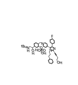 CC(C)(C)NCC(O)c1ccc(C[n+]2ccc(-c3c(-c4ccc(F)cc4)nc(C#CCCO)n3CCCc3ccccc3)cc2)c(OP(=O)(O)O)c1